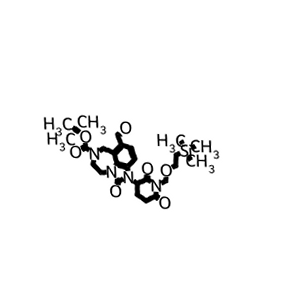 CC(C)(C)OC(=O)N1CCn2c(=O)n(C3CCC(=O)N(COCC[Si](C)(C)C)C3=O)c3ccc(C=O)c(c32)C1